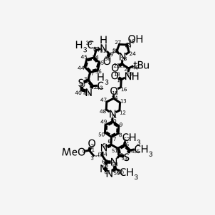 COC(=O)C[C@@H]1N=C(c2ccc(N3CCC(OCC(=O)NC(C(=O)N4C[C@H](O)C[C@H]4C(=O)N[C@@H](C)c4ccc(-c5scnc5C)cc4)C(C)(C)C)CC3)cc2)c2c(sc(C)c2C)-n2c(C)nnc21